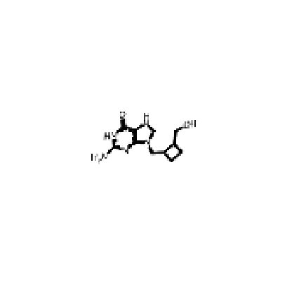 Nc1nc2c(c(=O)[nH]1)NCN2CC1CCC1CO